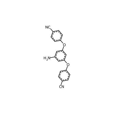 N#Cc1ccc(Oc2cc(N)cc(Oc3ccc(C#N)cc3)c2)cc1